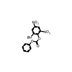 CCC(C)c1cc([N+](=O)[O-])cc([N+](=O)[O-])c1OC(=O)Oc1ccccc1